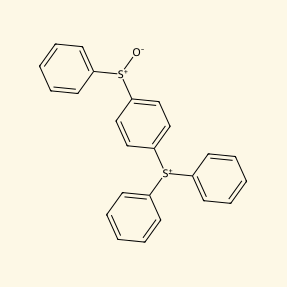 [O-][S+](c1ccccc1)c1ccc([S+](c2ccccc2)c2ccccc2)cc1